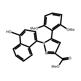 COC(=O)c1cc(-c2c(OC)cccc2OC)n(-c2ccc(O)c3ccccc23)n1